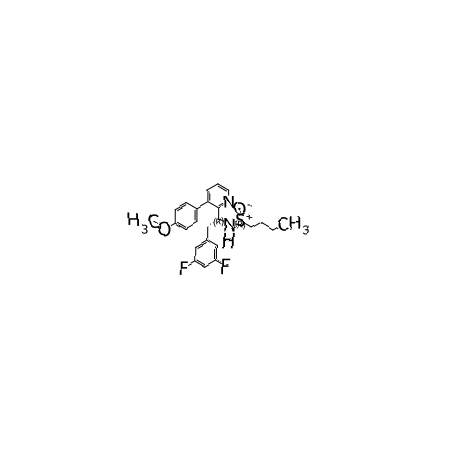 CCCC[S@+]([O-])N[C@H](Cc1cc(F)cc(F)c1)c1ncccc1-c1ccc(OC)cc1